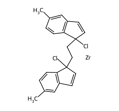 Cc1ccc2c(c1)C=CC2(Cl)CCC1(Cl)C=Cc2cc(C)ccc21.[Zr]